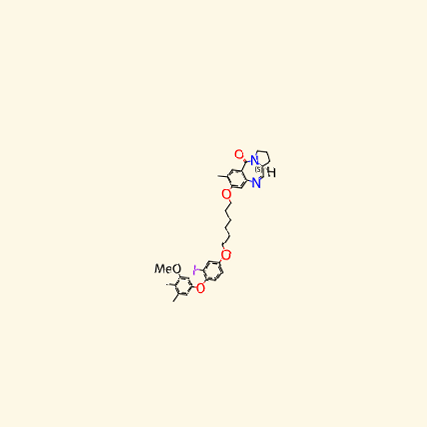 COc1cc(Oc2ccc(OCCCCCCOc3cc4c(cc3C)C(=O)N3CCC[C@H]3C=N4)cc2I)cc(C)c1C